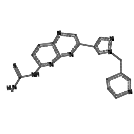 NC(=S)Nc1ccc2ncc(-c3cnn(Cc4cccnc4)c3)nc2n1